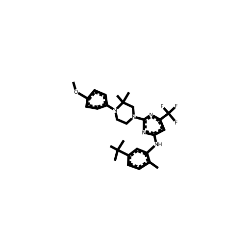 COc1ccc(N2CCN(c3nc(Nc4cc(C(C)(C)C)ccc4C)cc(C(F)(F)F)n3)CC2(C)C)cc1